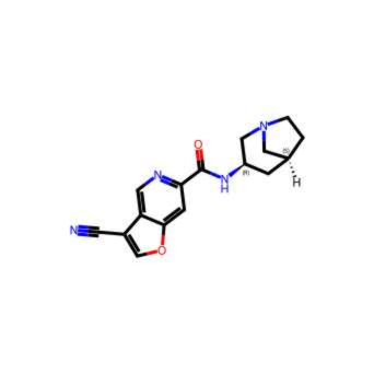 N#Cc1coc2cc(C(=O)N[C@@H]3C[C@@H]4CCN(C4)C3)ncc12